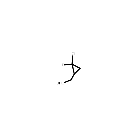 O=CCC1CC1(F)Cl